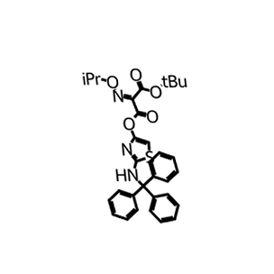 CC(C)ON=C(C(=O)Oc1csc(NC(c2ccccc2)(c2ccccc2)c2ccccc2)n1)C(=O)OC(C)(C)C